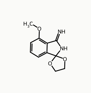 COc1cccc2c1C(=N)NC21OCCO1